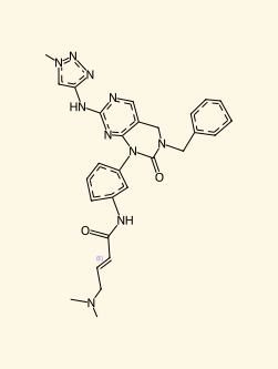 CN(C)C/C=C/C(=O)Nc1cccc(N2C(=O)N(Cc3ccccc3)Cc3cnc(Nc4cn(C)nn4)nc32)c1